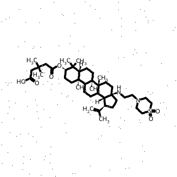 C=C(C)[C@@H]1CC[C@@]2(NCCN3CCS(=O)(=O)CC3)CC[C@]3(C)C(CCC4[C@@]5(C)CC[C@H](OC(=O)CC(C)(C)CC(=O)O)C(C)(C)[C@@H]5CC[C@]43C)[C@@H]12